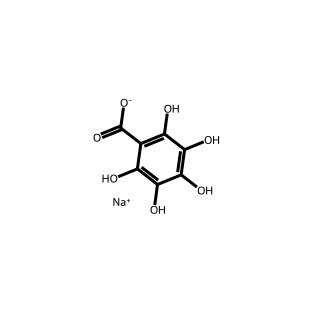 O=C([O-])c1c(O)c(O)c(O)c(O)c1O.[Na+]